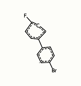 Fc1ccc(-c2c[c]c(Br)cc2)cc1